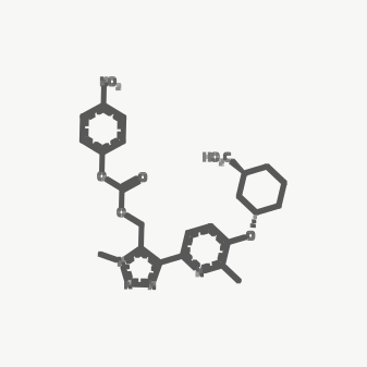 Cc1nc(-c2nnn(C)c2COC(=O)Oc2ccc([N+](=O)[O-])cc2)ccc1O[C@H]1CCC[C@H](C(=O)O)C1